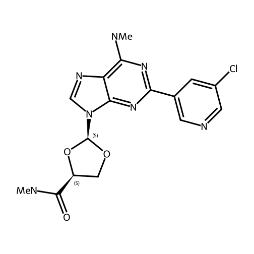 CNC(=O)[C@@H]1CO[C@H](n2cnc3c(NC)nc(-c4cncc(Cl)c4)nc32)O1